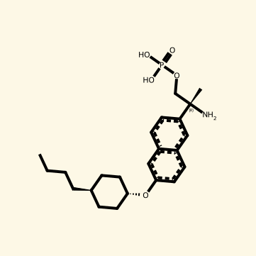 CCCC[C@H]1CC[C@H](Oc2ccc3cc([C@@](C)(N)COP(=O)(O)O)ccc3c2)CC1